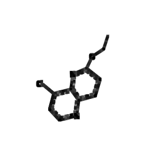 CCOc1ccc2nccc(Cl)c2n1